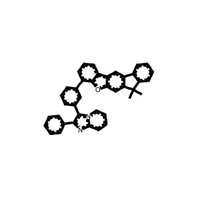 CC1(C)c2ccccc2-c2cc3c(cc21)oc1c(-c2cccc(-c4c(-c5ccccc5)nc5ccccn45)c2)cccc13